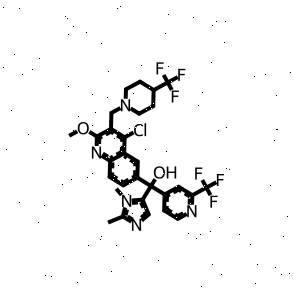 COc1nc2ccc(C(O)(c3ccnc(C(F)(F)F)c3)c3cnc(C)n3C)cc2c(Cl)c1CN1CCC(C(F)(F)F)CC1